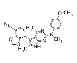 COc1ccc(N(C)c2nc(C)c3c(-c4ccc(C#N)c5c4OCO5)c(C)[nH]c3n2)cc1